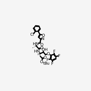 C[C@H](NC(=O)c1cc(-c2ccccc2Cl)on1)C(=O)N[C@@H](CC(=O)OC(C)(C)C)C(O)COc1c(F)c(F)cc(F)c1F